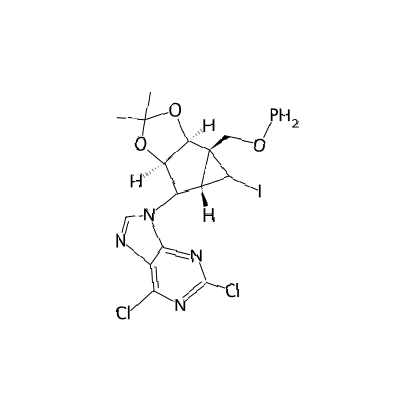 CC1(C)O[C@@H]2C(n3cnc4c(Cl)nc(Cl)nc43)[C@H]3C(I)[C@@]3(COP)[C@@H]2O1